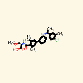 COC[C@H](NC(=O)c1c(C)cc(-c2cccc(NC(C)c3ccc(Cl)c(C)c3)c2)cc1C)C(=O)O